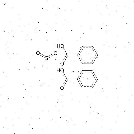 O=C(O)c1ccccc1.O=C(O)c1ccccc1.O=S=O